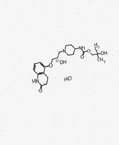 CC(C)(O)COC(=O)NC1CCN(C[C@H](O)COc2cccc3c2CCC(=O)N3)CC1.Cl